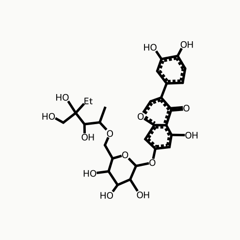 CCC(O)(CO)C(O)C(C)OCC1OC(Oc2cc(O)c3c(=O)c(-c4ccc(O)c(O)c4)coc3c2)C(O)C(O)C1O